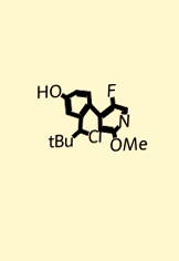 COc1cc(-c2ccc(O)cc2C(Cl)C(C)(C)C)c(F)cn1